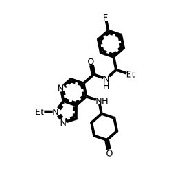 CCC(NC(=O)c1cnc2c(cnn2CC)c1NC1CCC(=O)CC1)c1ccc(F)cc1